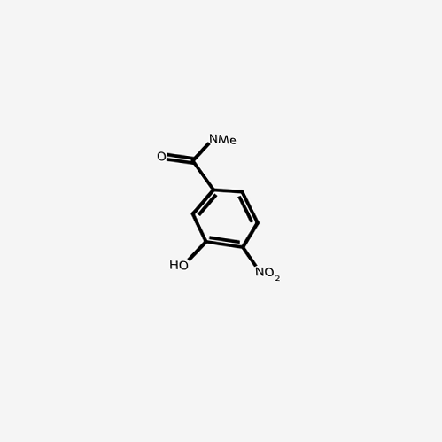 CNC(=O)c1ccc([N+](=O)[O-])c(O)c1